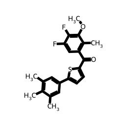 COc1c(C)c(C(=O)c2ccc(-c3cc(C)c(C)c(C)c3)s2)cc(F)c1F